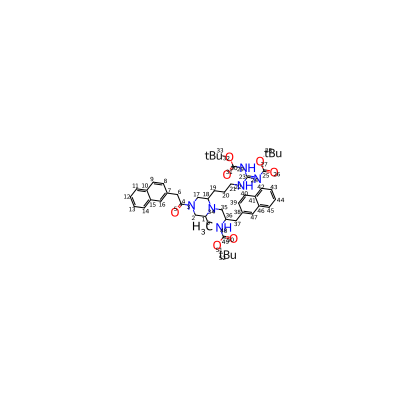 CC1CN(C(=O)Cc2ccc3ccccc3c2)CC(CCCNC(=NC(=O)OC(C)(C)C)NC(=O)OC(C)(C)C)N1CC(Cc1ccc2ccccc2c1)NC(=O)OC(C)(C)C